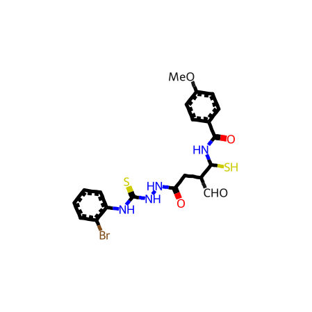 COc1ccc(C(=O)NC(S)C(C=O)CC(=O)NNC(=S)Nc2ccccc2Br)cc1